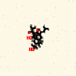 CC(C)=CCC12C[C@H]3C(C)(C)[C@H](C(C)(C)O)C[C@]3(C1=O)C(O)=C(C(=O)C(C)C)C2=O